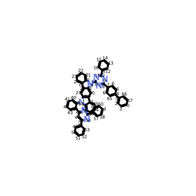 c1ccc(-c2ccc(-c3nc(-c4ccccc4)nc(-n4c5ccccc5c5cc6c(cc54)c4ccccc4n6-c4ccccc4-c4cc(-c5ccccc5)nc(-c5ccccc5)n4)n3)cc2)cc1